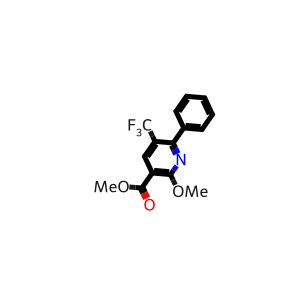 COC(=O)c1cc(C(F)(F)F)c(-c2ccccc2)nc1OC